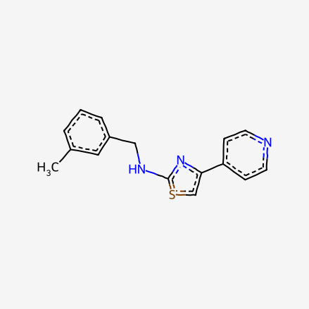 Cc1cccc(CNc2nc(-c3ccncc3)cs2)c1